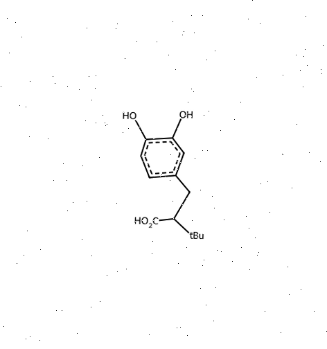 CC(C)(C)C(Cc1ccc(O)c(O)c1)C(=O)O